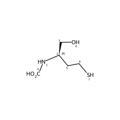 O=C(O)N[C@@H](CO)CCS